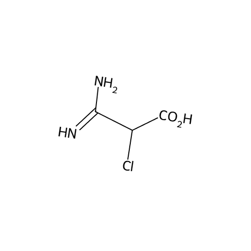 N=C(N)C(Cl)C(=O)O